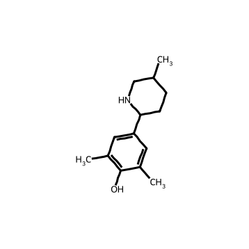 Cc1cc(C2CCC(C)CN2)cc(C)c1O